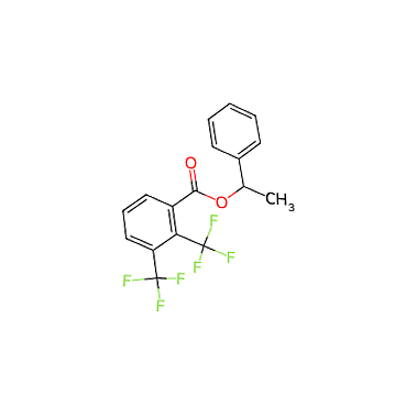 CC(OC(=O)c1cccc(C(F)(F)F)c1C(F)(F)F)c1ccccc1